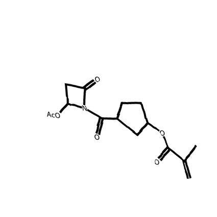 C=C(C)C(=O)OC1CCC(C(=O)N2C(=O)CC2OC(C)=O)C1